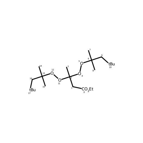 CCOC(=O)CC(C)(OOC(C)(C)CC(C)(C)C)OOC(C)(C)CC(C)(C)C